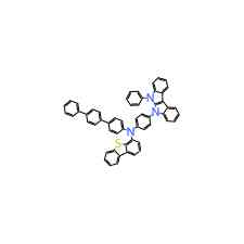 c1ccc(-c2ccc(-c3ccc(N(c4ccc(-n5c6ccccc6c6c7ccccc7n(-c7ccccc7)c65)cc4)c4cccc5c4sc4ccccc45)cc3)cc2)cc1